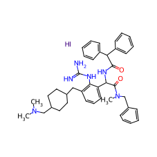 CN(C)CC1CCC(Cc2cccc(C(NC(=O)C(c3ccccc3)c3ccccc3)C(=O)N(C)Cc3ccccc3)c2NC(=N)N)CC1.I